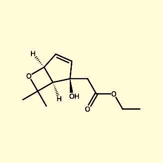 CCOC(=O)C[C@@]1(O)C=C[C@@H]2OC(C)(C)[C@@H]21